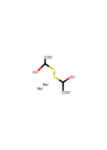 O=C([O-])C(O)SSC(O)C(=O)[O-].[Na+].[Na+]